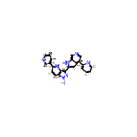 c1ccc(-c2cncc3[nH]c(-c4n[nH]c5ccc(-c6cccnc6)nc45)cc23)nc1